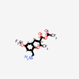 NCc1cc(OC(F)(F)F)cc2c1OC(C(F)(F)F)C(C(=O)OC(=O)C(F)(F)F)=C2